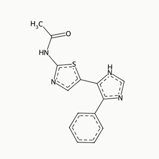 CC(=O)Nc1ncc(-c2[nH]cnc2-c2ccccc2)s1